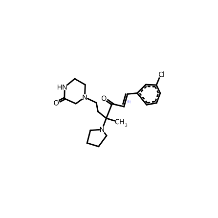 CC(CCN1CCNC(=O)C1)(C(=O)/C=C/c1cccc(Cl)c1)N1CCCC1